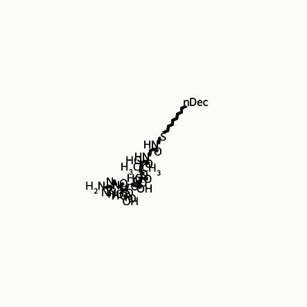 CCCCCCCCCCCCCCCCCCCCSCCNC(=O)CCNC(=O)[C@H](O)C(C)(C)COP(=O)(O)OP(=O)(O)OC[C@H]1O[C@@H](n2cnc3c(N)ncnc32)[C@H](O)[C@@H]1OP(=O)(O)O